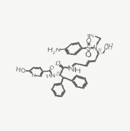 CC(C)CN([C@H](CO)CCCCNC(=O)[C@@H](NC(=O)c1ccc(O)nc1)C(c1ccccc1)c1ccccc1)S(=O)(=O)c1ccc(N)cc1